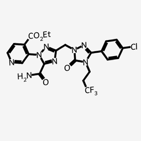 CCOC(=O)c1ccncc1-n1nc(Cn2nc(-c3ccc(Cl)cc3)n(CCC(F)(F)F)c2=O)nc1C(N)=O